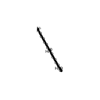 CC(C)(C)OC(=O)NCCOCCOCCOCCOCCOCCNC(=O)CCOCCOCCOCCOCCOCCOCCN=[N+]=[N-]